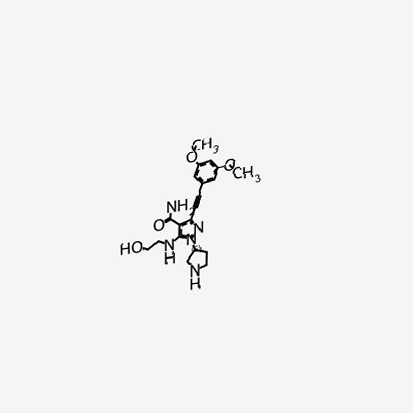 COc1cc(C#Cc2nn([C@H]3CCNC3)c(NCCO)c2C(N)=O)cc(OC)c1